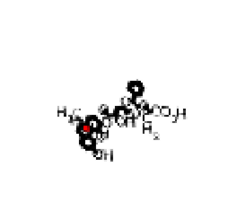 C[C@H](OC(=O)[C@@H](OC(=O)C[C@H](O)C(=O)OC1=CC[C@@]2(O)[C@H]3Cc4ccc(O)c5c4[C@@]2(CCN3C)[C@H]1O5)c1ccccc1)C(=O)O